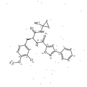 N#CC1(NC(=O)[C@H](Cc2ccc(OC(F)(F)F)c(Cl)c2)NC(=O)c2cc(-c3ccccc3)no2)CC1